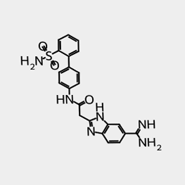 N=C(N)c1ccc2nc(CC(=O)Nc3ccc(-c4ccccc4S(N)(=O)=O)cc3)[nH]c2c1